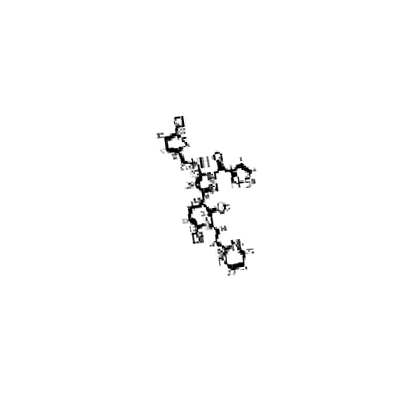 O=C(c1ccsn1)n1nc(-c2ccc(Br)n(CCc3ncccn3)c2=O)cc1NCc1ccc(Cl)s1